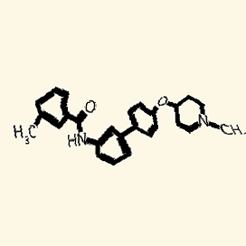 Cc1cccc(C(=O)Nc2cccc(-c3ccc(OC4CCN(C)CC4)cc3)c2)c1